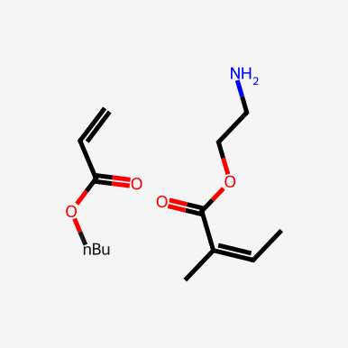 C=CC(=O)OCCCC.CC=C(C)C(=O)OCCN